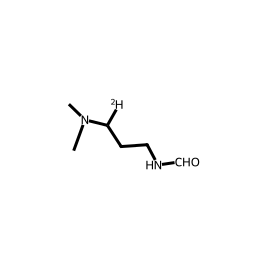 [2H]C(CCNC=O)N(C)C